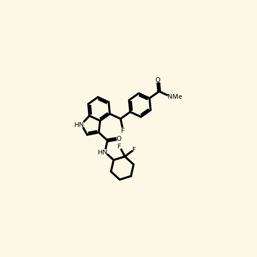 CNC(=O)c1ccc(C(F)c2cccc3[nH]cc(C(=O)NC4CCCCC4(F)F)c23)cc1